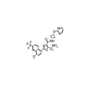 COc1ccc(-c2nc(C(=O)N[C@H]3C[C@@H](Oc4ncccn4)C3)c([C@H](C)N)o2)c2ccc(C(F)(F)F)nc12